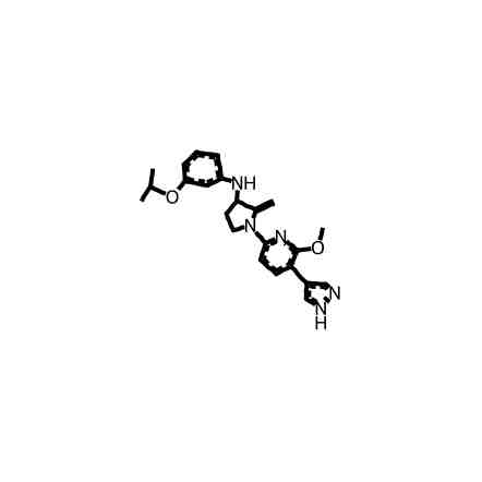 C=C1C(Nc2cccc(OC(C)C)c2)CCN1c1ccc(-c2cn[nH]c2)c(OC)n1